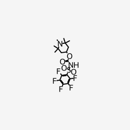 CN1C(C)(C)CC(OC(=O)NS(=O)(=O)c2c(F)c(F)c(F)c(F)c2F)CC1(C)C